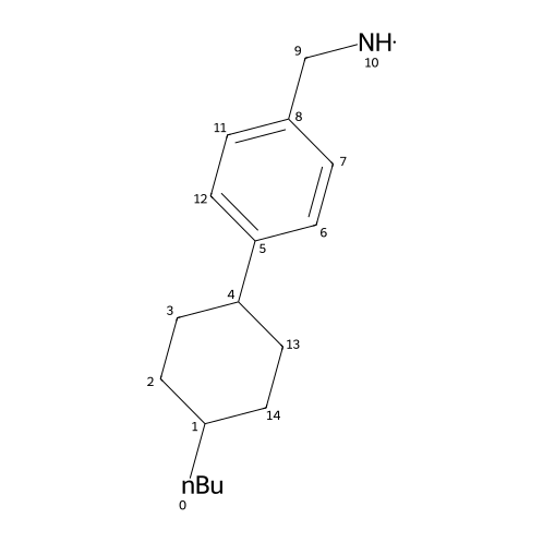 CCCCC1CCC(c2ccc(C[NH])cc2)CC1